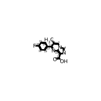 Cc1cn2cnc(C(=O)O)c2nc1-c1ccc(F)cc1